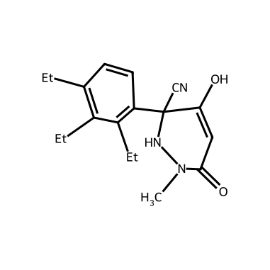 CCc1ccc(C2(C#N)NN(C)C(=O)C=C2O)c(CC)c1CC